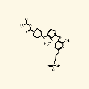 COc1c(OC2CCN(C(=O)OC(C)C)CC2)ccnc1Nc1ccc(CCCOP(=O)(O)O)nc1C